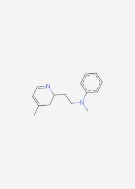 CC1=CC=NC(CCN(C)c2ccccc2)C1